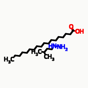 CC(C)CCNN.CCCCCCCCCCCCCCCCCC(=O)O